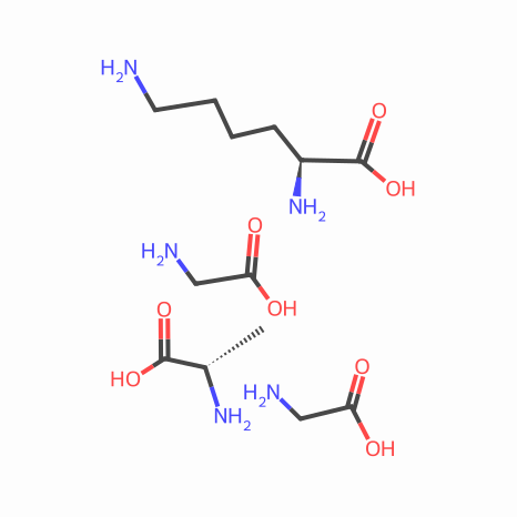 C[C@H](N)C(=O)O.NCC(=O)O.NCC(=O)O.NCCCC[C@H](N)C(=O)O